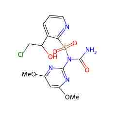 COc1cc(OC)nc(N(C(N)=O)S(=O)(=O)c2ncccc2C(O)CCl)n1